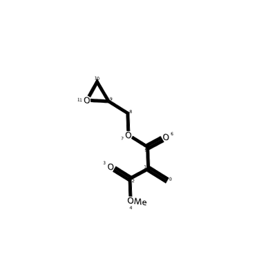 C=C(C(=O)OC)C(=O)OCC1CO1